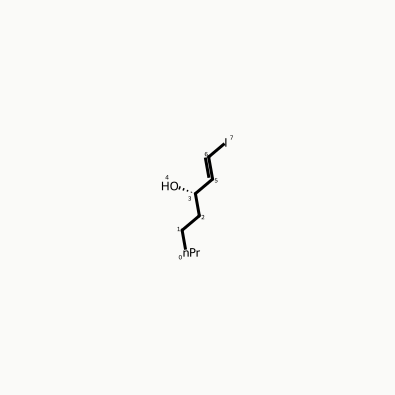 CCCCC[C@H](O)C=CI